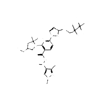 Cc1nn(C)cc1[S+]([O-])NC(=O)c1ccc(N2C=CC(OCC(C)(C)C(F)(F)F)N2)nc1N1CC(CO)CC1(C)C